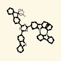 CC1(C)c2ccccc2-c2ccc(-c3nc(-c4ccc5c(c4)sc4ccccc45)nc(-c4ccc5c6ccccc6n(-c6cccc7c8ccccc8n(-c8ccccc8)c67)c5c4)n3)cc21